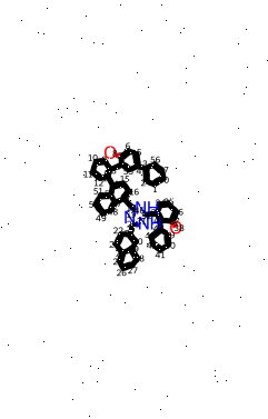 c1ccc(-c2ccc3oc4cccc(-c5ccc(C6N=C(c7ccc8ccccc8c7)NC(c7cccc8oc9ccccc9c78)N6)c6ccccc56)c4c3c2)cc1